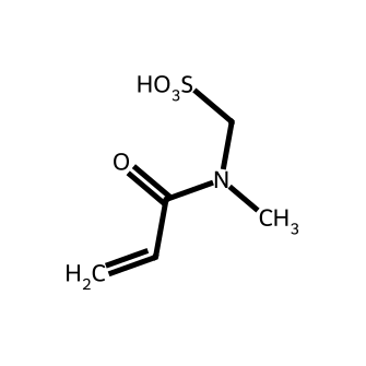 C=CC(=O)N(C)CS(=O)(=O)O